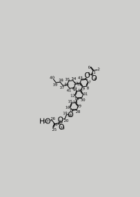 C=C(C)C(=O)Oc1ccc(-c2ccc(-c3ccc(OCCOC(=O)C(=C)CO)cc3)cc2)c(C2CCC(CCCC)CC2)c1